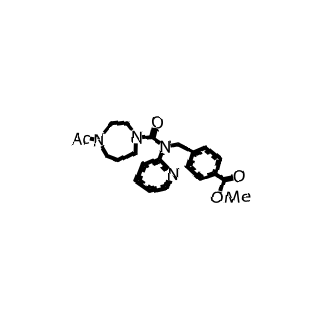 COC(=O)c1ccc(CN(C(=O)N2CCCN(C(C)=O)CC2)c2ccccn2)cc1